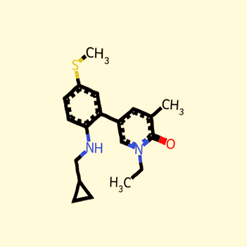 CCn1cc(-c2cc(SC)ccc2NCC2CC2)cc(C)c1=O